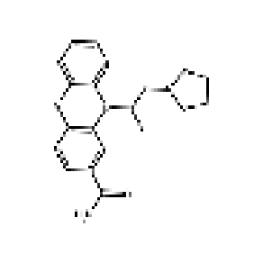 CC(CN1CCCC1)N1c2ccccc2Sc2ccc(C(N)=O)cc21